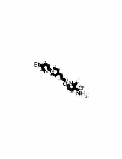 CCc1ccc(N2CCC(CCCOc3ccc(C(N)=O)c(C)n3)CC2)nc1